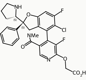 CNC(=O)c1cnc(OCC(=O)O)c(F)c1-c1c(Cl)c(F)cc2c1C[C@](c1ccccc1)([C@@H]1CCCN1)O2